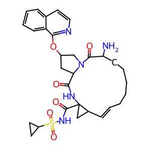 NC1CCCCC/C=C/C2CC2(C(=O)NS(=O)(=O)C2CC2)NC(=O)C2CC(Oc3nccc4ccccc34)CN2C1=O